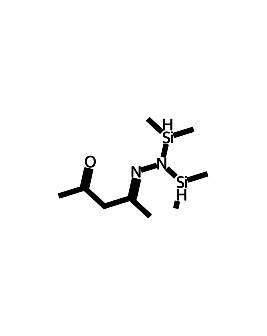 CC(=O)CC(C)=NN([SiH](C)C)[SiH](C)C